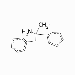 [CH2]C(N)(Cc1ccccc1)c1ccccc1